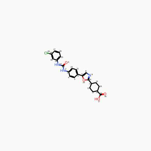 O=C(Nc1ccc(-c2cnc(C3CCC(C(=O)O)CC3)o2)cc1)Nc1cccc(Cl)c1